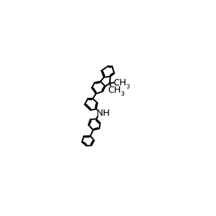 CC1(C)c2ccccc2-c2ccc(-c3cccc(Nc4ccc(-c5ccccc5)cc4)c3)cc21